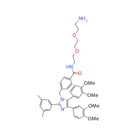 COc1ccc(-c2nc(-c3cc(C)cc(C)c3)n(Cc3ccc(C(=O)NCCOCCOCCN)cc3)c2-c2ccc(OC)c(OC)c2)cc1OC